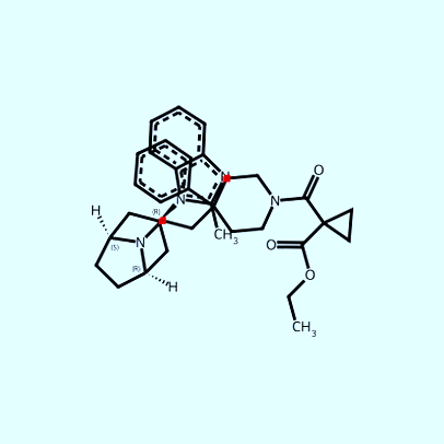 CCOC(=O)C1(C(=O)N2CCC(CCN3[C@@H]4CC[C@H]3C[C@@H](n3c(C)nc5ccccc53)C4)(c3ccccc3)CC2)CC1